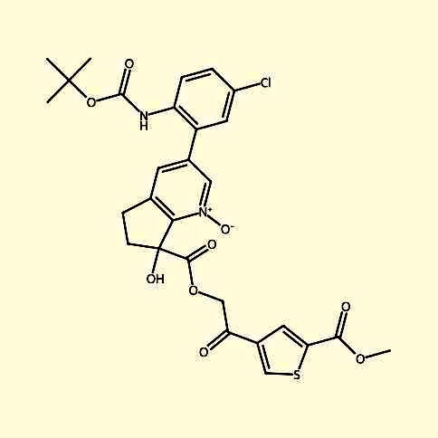 COC(=O)c1cc(C(=O)COC(=O)C2(O)CCc3cc(-c4cc(Cl)ccc4NC(=O)OC(C)(C)C)c[n+]([O-])c32)cs1